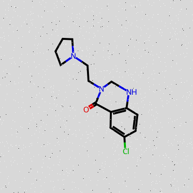 O=C1c2cc(Cl)ccc2NCN1CCN1CCCC1